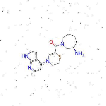 N[C@@H]1CCCCN(C(=O)C2=CN(c3ccnc4[nH]ccc34)CCS2)C1